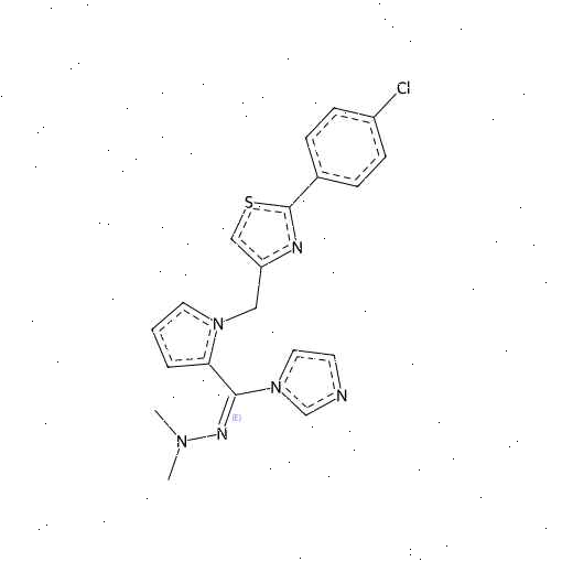 CN(C)/N=C(\c1cccn1Cc1csc(-c2ccc(Cl)cc2)n1)n1ccnc1